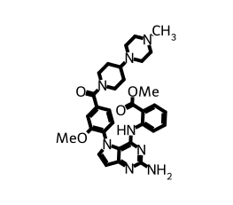 COC(=O)c1ccccc1Nc1nc(N)nc2ccn(-c3ccc(C(=O)N4CCC(N5CCN(C)CC5)CC4)cc3OC)c12